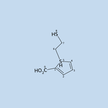 O=C(O)C1=CC=C[SH]1CCS